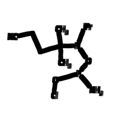 CC(C)N(OP(N)OCl)C(C)(C)CCC#N